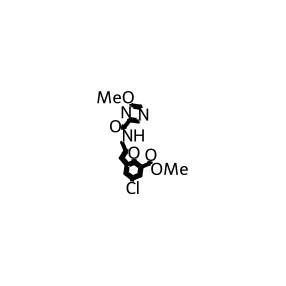 COC(=O)c1cc(Cl)cc2cc(CNC(=O)c3cncc(OC)n3)oc12